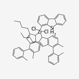 CCCCC1=Cc2c(ccc(C)c2-c2ccccc2C)[CH]1[Zr]([Cl])([Cl])([c]1cccc2c1[SiH2]c1ccccc1-2)[CH]1C(CCCC)=Cc2c1ccc(C)c2-c1ccccc1C